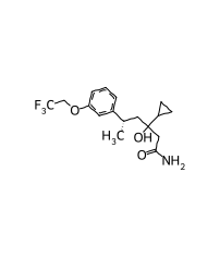 C[C@@H](CC(O)(CC(N)=O)C1CC1)c1cccc(OCC(F)(F)F)c1